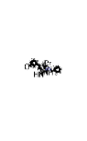 CC(C)CC1(C)/C(=N/Cc2ccccc2)NC(=N)N1CCc1cccc(Cl)c1